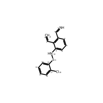 C=Cc1c(C=N)cccc1NSc1ccccc1Cl